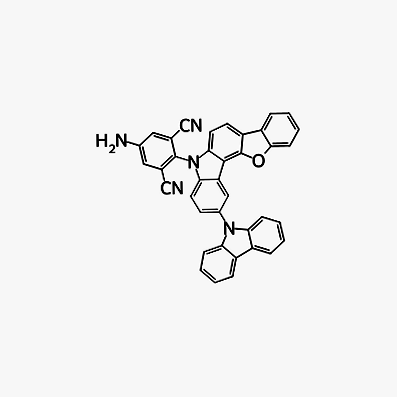 N#Cc1cc(N)cc(C#N)c1-n1c2ccc(-n3c4ccccc4c4ccccc43)cc2c2c3oc4ccccc4c3ccc21